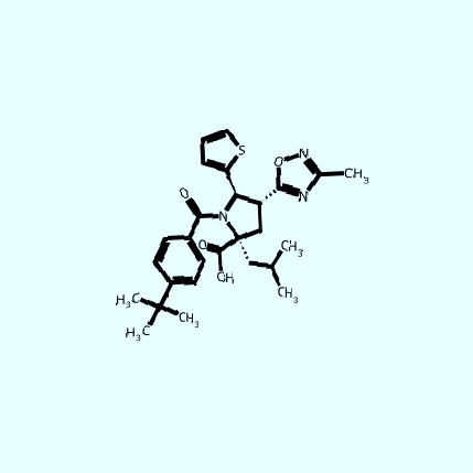 Cc1noc([C@@H]2C[C@@](CC(C)C)(C(=O)O)N(C(=O)c3ccc(C(C)(C)C)cc3)[C@H]2c2cccs2)n1